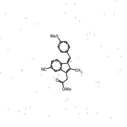 COC(=O)CC1=C(C)/C(=C/c2ccc(SC)cc2)c2ccc(C#N)cc21